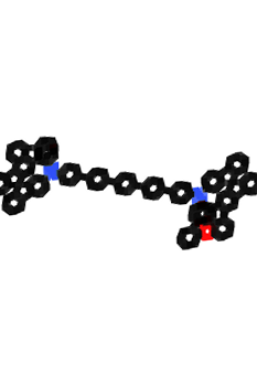 c1ccc(N(c2ccc(-c3ccc(-c4ccc(-c5ccc(-c6ccc(N(c7ccc8c(c7)C7(c9ccccc9-8)c8ccccc8-c8cc9c%10ccccc%10c%10ccccc%10c9cc87)c7ccc8oc9ccccc9c8c7)cc6)cc5)cc4)cc3)cc2)c2ccc3c(c2)C2(c4ccccc4-3)c3ccccc3-c3c2cc2c4c(cccc34)-c3ccccc3-2)cc1